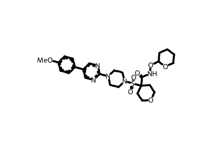 COc1ccc(-c2cnc(N3CCN(S(=O)(=O)C4(C(=O)NOC5CCCCO5)CCOCC4)CC3)nc2)cc1